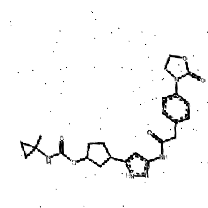 CC1(NC(=O)OC2CCC(c3cc(NC(=O)Cc4ccc(N5CCOC5=O)cc4)n[nH]3)C2)CC1